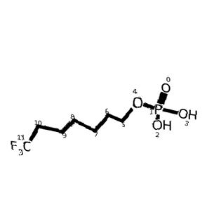 O=P(O)(O)OCCCCCCC(F)(F)F